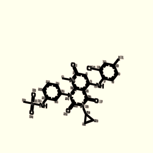 Cn1c(=O)cc(Nc2ccc(I)cc2Cl)c2c(=O)n(C3CC3)c(=O)n(-c3cccc(NS(C)(=O)=O)c3)c21